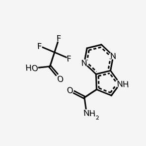 NC(=O)c1c[nH]c2nccnc12.O=C(O)C(F)(F)F